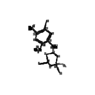 Cc1cc(NC2CC(C)CC(C)(C)C2)c([N+](=O)[O-])cc1Br